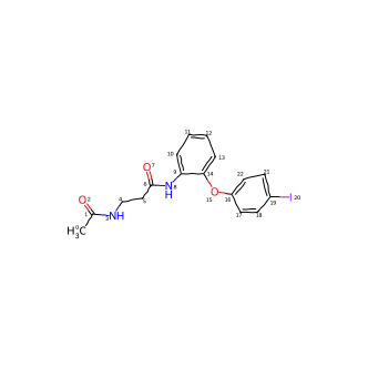 CC(=O)NCCC(=O)Nc1ccccc1Oc1ccc(I)cc1